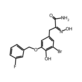 NC(=O)C(Cc1cc(Br)c(O)c(OCc2cccc(F)c2)c1)=NO